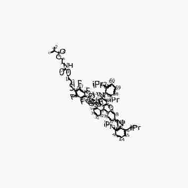 C=C(C)C(=O)OCCNC(=O)OCCSc1c(F)c(F)c(S(=O)(=O)NS(=O)(=O)c2ccccc2-c2c3cc/c(=N\c4c(C(C)C)cccc4C(C)C)cc-3oc3cc(Nc4c(C(C)C)cccc4C(C)C)ccc23)c(F)c1F